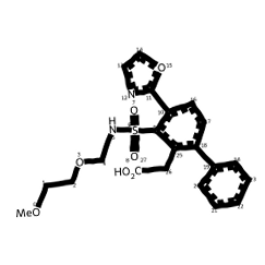 COCCOCNS(=O)(=O)c1c(-c2ncco2)ccc(-c2ccccc2)c1CC(=O)O